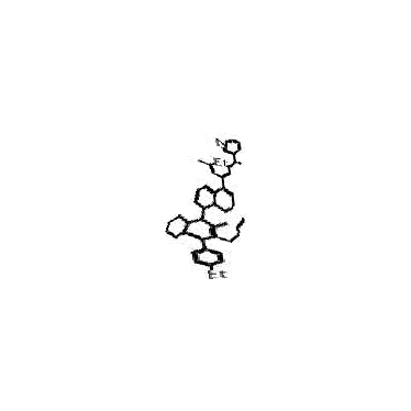 C=C/C=C\C1=C(C)C(C2C=CC=C3C(C(/C=C(/C)CC)=C/C=C(\C)c4cccnc4)=CCCC32)C2CCC=CC2=C1c1ccc(CC)cc1